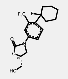 O=C1O[C@@H](CO)CN1c1ccc(C2(F)CCCCC2)c(C(F)(F)F)c1